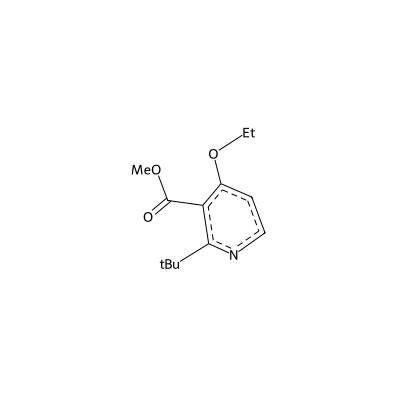 CCOc1ccnc(C(C)(C)C)c1C(=O)OC